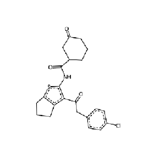 O=C1CCCC(C(=O)Nc2sc3c(c2C(=O)Cc2ccc(Cl)cc2)CCC3)C1